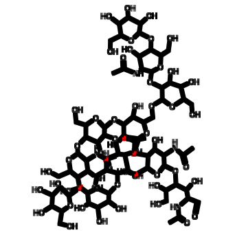 CC(=O)NC(C=O)C(O)C(OC1OC(CO)C(OC2OC(COC3OC(CO)C(O)C(O)C3OC3OC(CO)C(OC4OC(CO)C(O)C(O)C4O)C(O)C3NC(C)=O)C(O)C(OC3OC(CO)C(OC4OC(CO)C(OC5OC(CO)C(O)C(O)C5O)C(O)C4NC(C)=O)C(O)C3OC3OC(CO)C(OC4OC(CO)C(O)C(O)C4O)C(O)C3NC(C)=O)C2O)C(O)C1NC(C)=O)C(O)CO